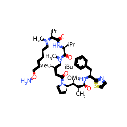 CC[C@H](C)[C@@H]([C@@H](CC(=O)N1CCC[C@H]1[C@H](OC)[C@@H](C)C(=O)N[C@@H](Cc1ccccc1)c1nccs1)OC)N(C)C(=O)[C@@H](NC(=O)[C@H](C(C)C)N(C)CCCCCCON)C(C)C